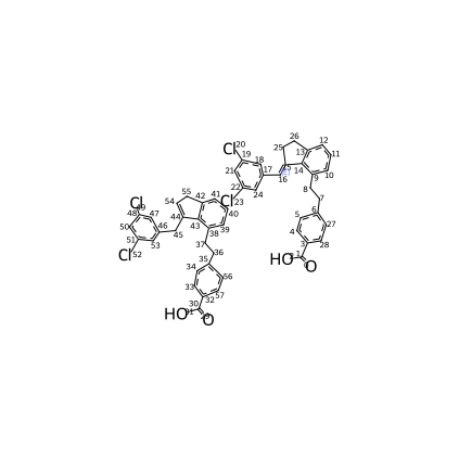 O=C(O)c1ccc(CCc2cccc3c2/C(=C/c2cc(Cl)cc(Cl)c2)CC3)cc1.O=C(O)c1ccc(CCc2cccc3c2C(Cc2cc(Cl)cc(Cl)c2)=CC3)cc1